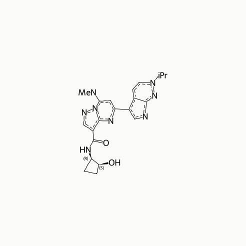 CNc1cc(-c2cnc3nn(C(C)C)ccc2-3)nc2c(C(=O)N[C@@H]3CC[C@@H]3O)cnn12